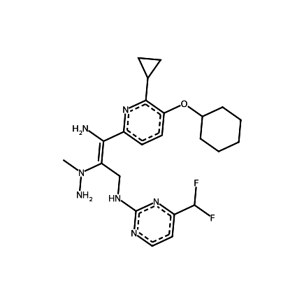 CN(N)/C(CNc1nccc(C(F)F)n1)=C(\N)c1ccc(OC2CCCCC2)c(C2CC2)n1